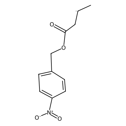 C[CH]CC(=O)OCc1ccc([N+](=O)[O-])cc1